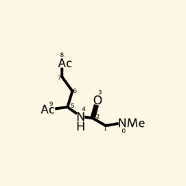 CNCC(=O)NC(CCC(C)=O)C(C)=O